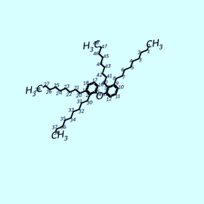 CCCCCCCCCc1cccc(Oc2cccc(CCCCCCCCC)c2CCCCCCCCC)c1CCCCCCCCC